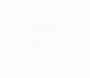 c1cnc2c(c1)C1NCC[C@@H]1C2